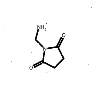 NCN1C(=O)CCC1=O